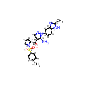 Cc1ccc(S(=O)(=O)n2cccc2C(=O)c2cnn(-c3ccc4[nH]c(C)nc4c3)c2N)cc1